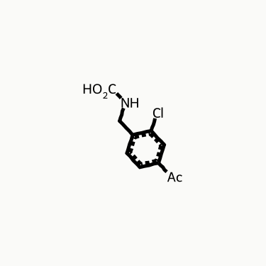 CC(=O)c1ccc(CNC(=O)O)c(Cl)c1